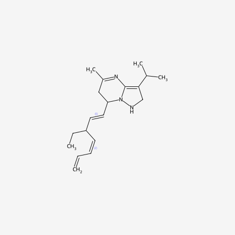 C=C/C=C\C(/C=C/C1CC(C)=NC2=C(C(C)C)CNN21)CC